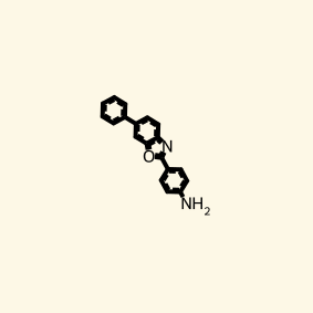 Nc1ccc(-c2nc3ccc(-c4ccccc4)cc3o2)cc1